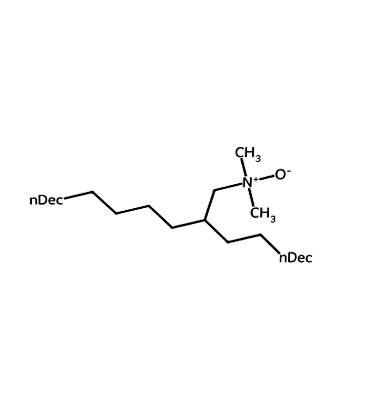 CCCCCCCCCCCCCCC(CCCCCCCCCCCC)C[N+](C)(C)[O-]